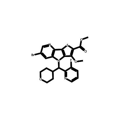 COC(=O)c1sc2c3ncc(Br)cc3n(C(c3ncccc3F)C3CCOCC3)c2c1OC